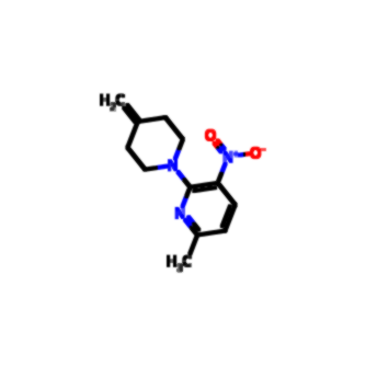 C=C1CCN(c2nc(C)ccc2[N+](=O)[O-])CC1